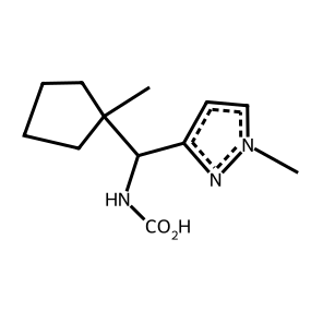 Cn1ccc(C(NC(=O)O)C2(C)CCCC2)n1